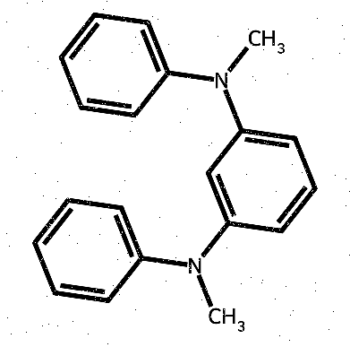 CN(c1ccccc1)c1cccc(N(C)c2ccccc2)c1